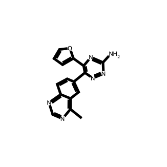 Cc1ncnc2ccc(-c3nnc(N)nc3-c3ccco3)cc12